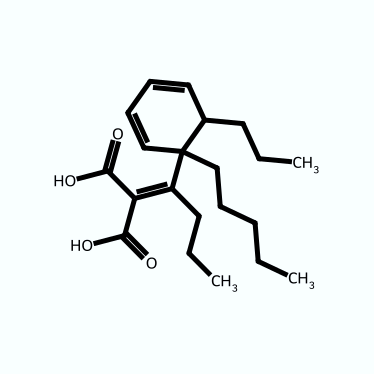 CCCCCC1(C(CCC)=C(C(=O)O)C(=O)O)C=CC=CC1CCC